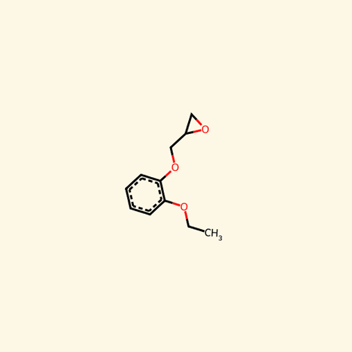 CCOc1ccccc1OCC1CO1